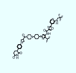 O=C1CCC(c2ccc(N3CC(C(=O)N4CCN(C5CCC(n6cc(NC(=O)c7coc(-c8ccnc(NCC(F)(F)F)c8)n7)c(C(F)F)n6)CC5)CC4)C3)cc2)C(=O)N1